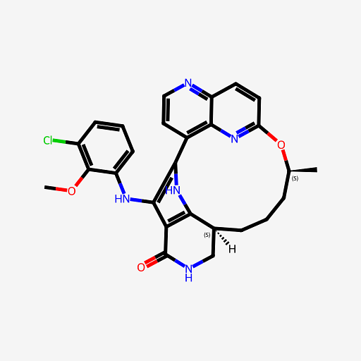 COc1c(Cl)cccc1Nc1c2[nH]c3c1C(=O)NC[C@@H]3CCC[C@H](C)Oc1ccc3nccc-2c3n1